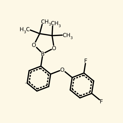 CC1(C)OB(c2c[c]ccc2Oc2ccc(F)cc2F)OC1(C)C